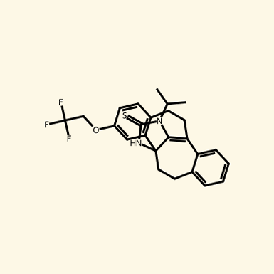 CC(C)N1C(=S)NC23CCc4ccccc4C(=C12)CCc1ccc(OCC(F)(F)F)cc13